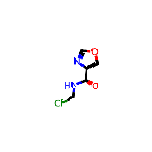 O=C(NCCl)c1cocn1